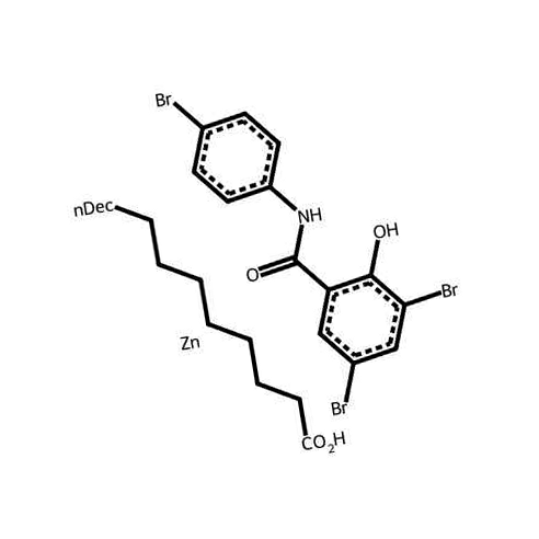 CCCCCCCCCCCCCCCCCC(=O)O.O=C(Nc1ccc(Br)cc1)c1cc(Br)cc(Br)c1O.[Zn]